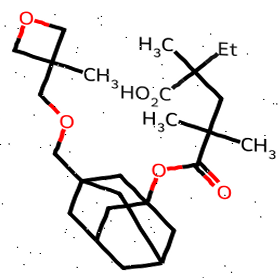 CCC(C)(CC(C)(C)C(=O)OC12CC3CC(CC(COCC4(C)COC4)(C3)C1)C2)C(=O)O